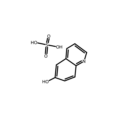 O=S(=O)(O)O.Oc1ccc2ncccc2c1